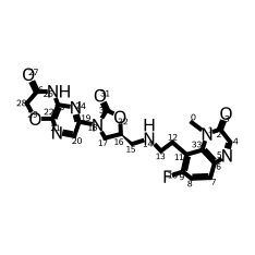 Cn1c(=O)cnc2ccc(F)c(CCNC[C@H]3CN(c4cnc5c(n4)NC(=O)CO5)C(=O)O3)c21